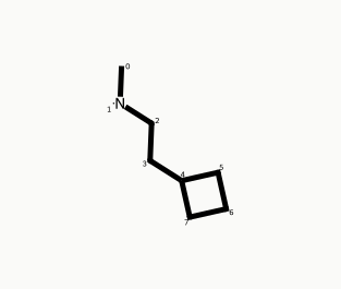 C[N]CCC1CCC1